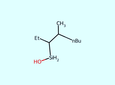 CCCCC(C)C(CC)[SiH2]O